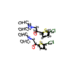 O=CN(C=O)CC(=O)c1ccc(Cl)s1.O=CN(C=O)CC(=O)c1ccc(Cl)s1